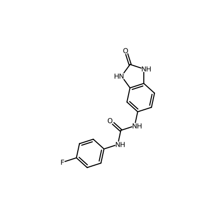 O=C(Nc1ccc(F)cc1)Nc1ccc2[nH]c(=O)[nH]c2c1